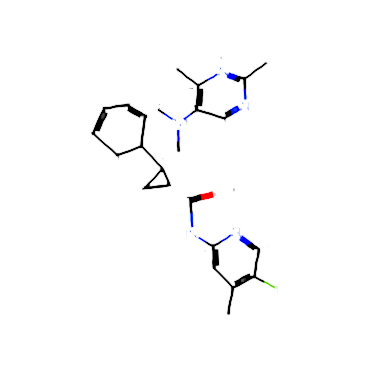 Cc1ncc(N(C)C[C@@]2(C3C=CC=CC3)C[C@H]2C(=O)Nc2cc(C)c(F)cn2)c(C)n1